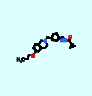 CCCOc1ccc2c(c1)CCN(Cc1ccc(CNC(=O)C3CC3)cc1)C2